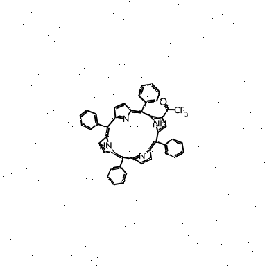 O=C(c1cc2[nH]c1c(-c1ccccc1)c1nc(c(-c3ccccc3)c3ccc([nH]3)c(-c3ccccc3)c3nc(c2-c2ccccc2)C=C3)C=C1)C(F)(F)F